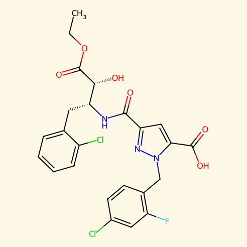 CCOC(=O)[C@H](O)[C@@H](Cc1ccccc1Cl)NC(=O)c1cc(C(=O)O)n(Cc2ccc(Cl)cc2F)n1